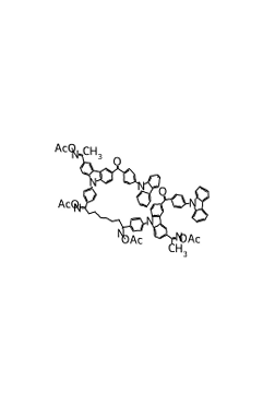 CC(=O)ON=C(C)c1ccc2c(c1)c1cc(C(=O)c3ccc(-n4c5ccccc5c5ccccc54)cc3)ccc1n2-c1ccc(/C(CCCCCC/C(=N/OC(C)=O)c2ccc(-n3c4ccc(C(=O)c5ccc(-n6c7ccccc7c7ccccc76)cc5)cc4c4cc(C(C)=NOC(C)=O)ccc43)cc2)=N\OC(C)=O)cc1